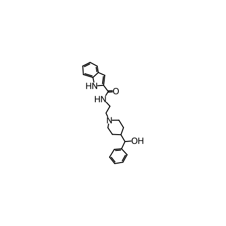 O=C(NCCN1CCC(C(O)c2ccccc2)CC1)c1cc2ccccc2[nH]1